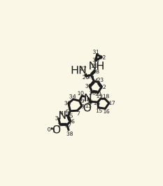 COc1cnc(C2CCC(CN(C(=O)C3CCCCC3)c3cccc(/C(C=N)=C/NC4CC4)c3)CC2)cc1C